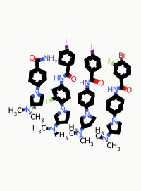 CN(C)C1CCN(c2ccc(NC(=O)c3ccc(Br)c(F)c3)cc2)C1.CN(C)C1CCN(c2ccc(NC(=O)c3ccc(I)cc3)cc2)C1.CN(C)C1CCN(c2ccc(NC(=O)c3ccc(I)cc3)cc2F)C1.CN(C)[C@@H]1CCN(c2ccc(C(N)=O)cc2)C1